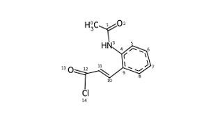 CC(=O)Nc1ccccc1C=CC(=O)Cl